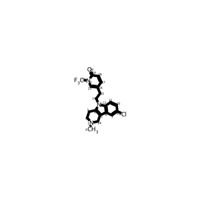 CN1CCc2c(c3cc(Cl)ccc3n2CCc2ccc(=O)n(C(F)(F)F)c2)C1